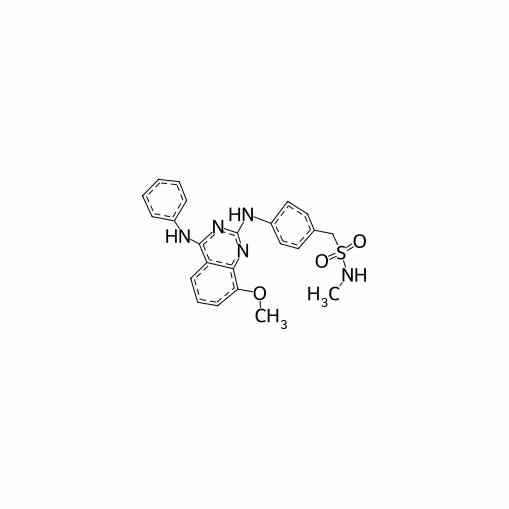 CNS(=O)(=O)Cc1ccc(Nc2nc(Nc3ccccc3)c3cccc(OC)c3n2)cc1